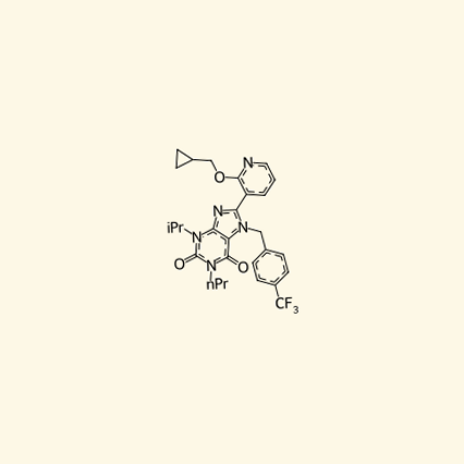 CCCn1c(=O)c2c(nc(-c3cccnc3OCC3CC3)n2Cc2ccc(C(F)(F)F)cc2)n(C(C)C)c1=O